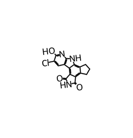 O=C1NC(=O)c2c1c1c(c3[nH]c4nc(O)c(Cl)cc4c23)CCC1